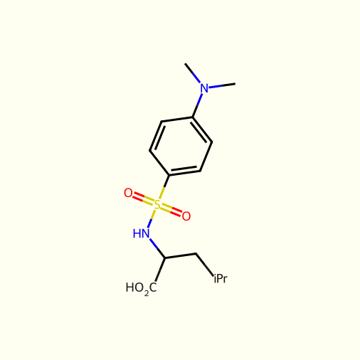 CC(C)CC(NS(=O)(=O)c1ccc(N(C)C)cc1)C(=O)O